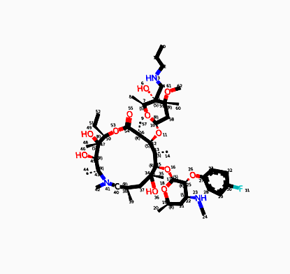 CCCNC[C@]1(O)[C@H](C)O[C@@H](O[C@H]2[C@H](C)[C@@H](O[C@@H]3O[C@H](C)C[C@H](NC)[C@H]3Oc3ccc(F)cc3)[C@](C)(O)C[C@@H](C)CN(C)[C@H](C)[C@@H](O)[C@](C)(O)[C@@H](CC)OC(=O)[C@@H]2C)C[C@@]1(C)OC